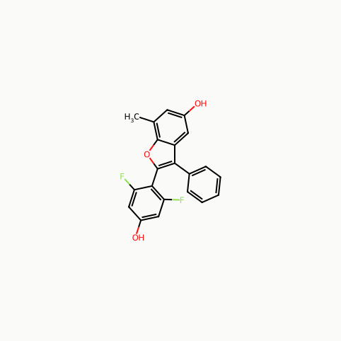 Cc1cc(O)cc2c(-c3ccccc3)c(-c3c(F)cc(O)cc3F)oc12